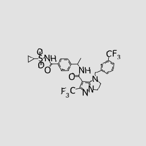 CC(NC(=O)c1c(C(F)(F)F)nn2c1N(Cc1cccc(C(F)(F)F)c1)CC2)c1ccc(C(=O)NS(=O)(=O)C2CC2)cc1